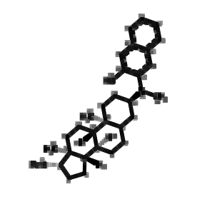 CCCC(C)[C@H]1CC[C@H]2[C@@H]3CCC4C[C@H](N(C)c5cc6ccccc6cc5O)CC[C@]4(C)[C@H]3CC[C@]12C